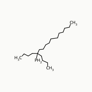 CCCCCCCCCCCC(P)(CCCC)CCCC